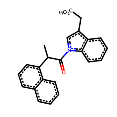 CC(C(=O)n1cc(CC(=O)O)c2ccccc21)c1cccc2ccccc12